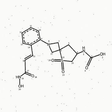 O=C(O)NC1CC2(CN(c3ccccc3/C=C/C(=O)NO)C2)S(=O)(=O)C1